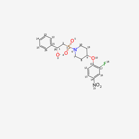 [O][C@@H](CS(=O)(=O)N1CCC(Oc2ccc([N+](=O)[O-])cc2F)CC1)c1ccccc1